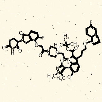 Cc1nn(C)c(C)c1-c1c(Cl)ccc2c(CCCOc3cccc4cc(F)ccc34)c(C(=O)OC(C)(C)C)n(CCN3CCN(C(=O)COc4c(F)ccc5c4CN(C4CCC(=O)NC4=O)C5=O)CC3)c12